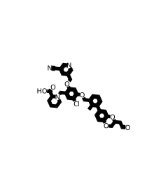 Cc1c(COc2cc(OCc3cncc(C#N)c3)c(CN3CCCCC3C(=O)O)cc2Cl)cccc1-c1ccc2c(c1)OC(CC=O)CO2